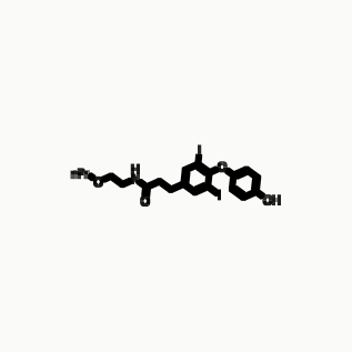 CCCOCCNC(=O)CCc1cc(I)c(Oc2ccc(O)cc2)c(I)c1